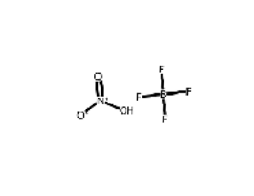 F[B-](F)(F)F.O=[N+]([O-])O